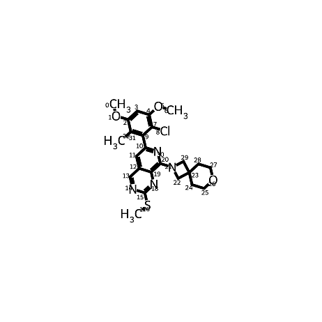 COc1cc(OC)c(Cl)c(-c2cc3cnc(SC)nc3c(N3CC4(CCOCC4)C3)n2)c1C